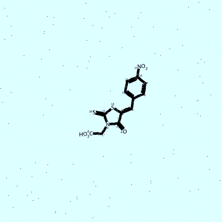 O=C(O)CN1C(=O)C(=Cc2ccc([N+](=O)[O-])cc2)SC1=S